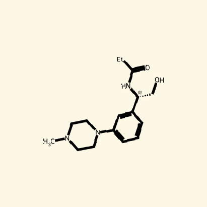 CCC(=O)N[C@H](CO)c1cccc(N2CCN(C)CC2)c1